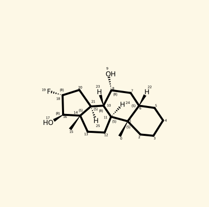 C[C@]12CCCC[C@H]1C[C@@H](O)[C@@H]1[C@@H]2CC[C@]2(C)[C@@H](O)[C@H](F)C[C@@H]12